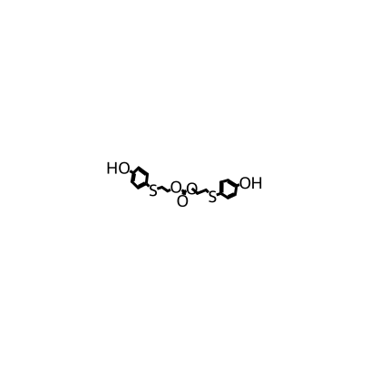 O=C(OCCSc1ccc(O)cc1)OCCSc1ccc(O)cc1